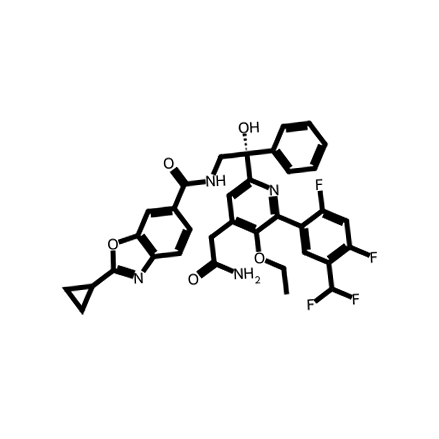 CCOc1c(CC(N)=O)cc([C@@](O)(CNC(=O)c2ccc3nc(C4CC4)oc3c2)c2ccccc2)nc1-c1cc(C(F)F)c(F)cc1F